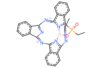 CCP(=O)(CC)OB1n2c3c4ccccc4c2/N=C2N=C(/N=c4/c5ccccc5c(n41)=N3)c1ccccc1\2